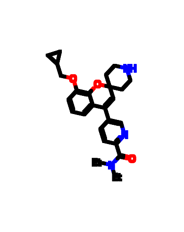 CCN(CC)C(=O)c1ccc(C2=CC3(CCNCC3)Oc3c(OCC4CC4)cccc32)cn1